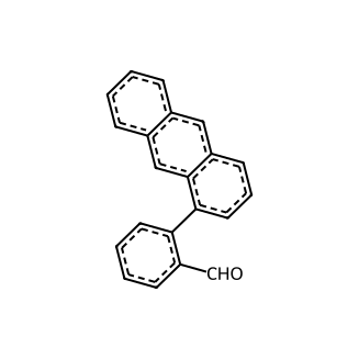 O=Cc1ccccc1-c1cccc2cc3ccccc3cc12